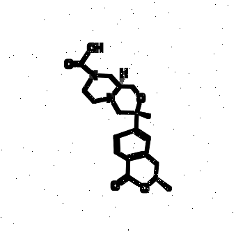 C[C@@H]1Cc2cc([C@]3(C)CN4CCN(C(=O)O)C[C@H]4CO3)ccc2C(=O)O1